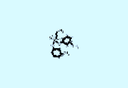 CCO[PH](Br)(Oc1cccc(C)c1)Oc1cccc(C)c1